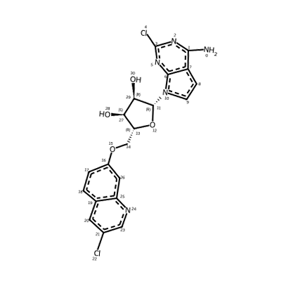 Nc1nc(Cl)nc2c1ccn2[C@@H]1O[C@H](COc2ccc3cc(Cl)cnc3c2)[C@@H](O)[C@H]1O